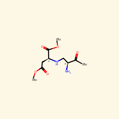 CC(C)(C)OC(=O)C[C@H](NC[C@H](N)C(=O)C(C)(C)C)C(=O)OC(C)(C)C